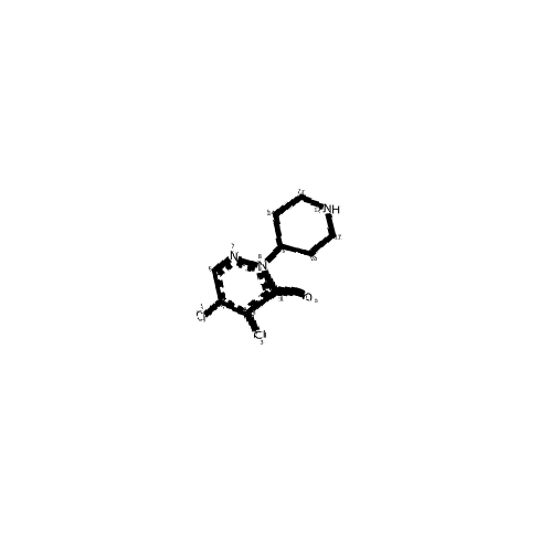 O=c1c(Cl)c(Cl)cnn1C1CCNCC1